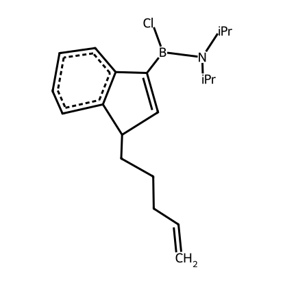 C=CCCCC1C=C(B(Cl)N(C(C)C)C(C)C)c2ccccc21